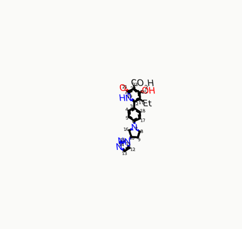 CCc1c(-c2ccc(N3CCC(n4ccnn4)C3)cc2)[nH]c(=O)c(C(=O)O)c1O